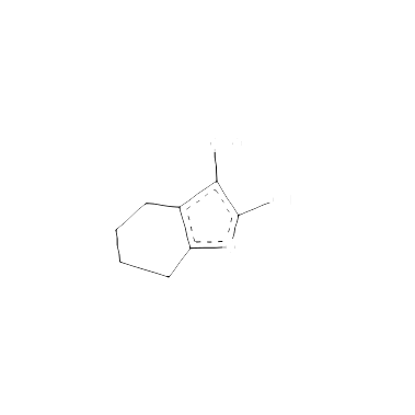 Cc1oc2c(c1[C]=O)CCCC2